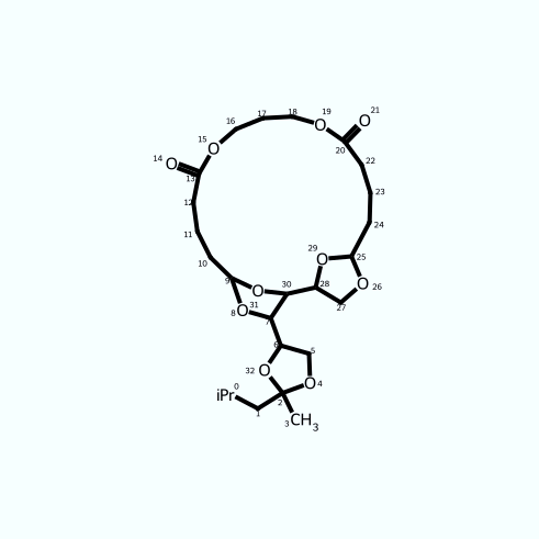 CC(C)CC1(C)OCC(C2OC3CCCC(=O)OCCCOC(=O)CCCC4OCC(O4)C2O3)O1